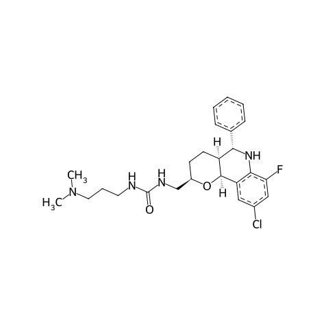 CN(C)CCCNC(=O)NC[C@H]1CC[C@@H]2[C@H](O1)c1cc(Cl)cc(F)c1N[C@H]2c1ccccc1